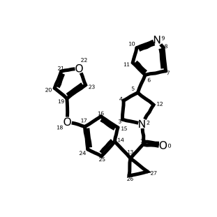 O=C(N1CCC(c2ccncc2)C1)C1(c2ccc(Oc3ccoc3)cc2)CC1